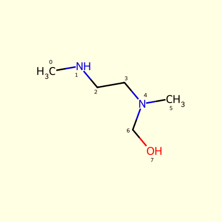 CNCCN(C)CO